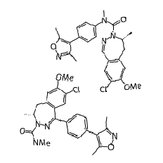 CNC(=O)N1N=C(c2ccc(-c3c(C)noc3C)cc2)c2cc(Cl)c(OC)cc2C[C@H]1C.COc1cc2c(cc1Cl)C=NN(C(=O)N(C)c1ccc(-c3c(C)noc3C)cc1)[C@@H](C)C2